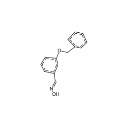 ON=Cc1cccc(OCc2ccccc2)c1